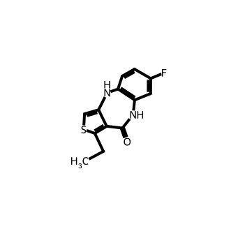 CCc1scc2c1C(=O)Nc1cc(F)ccc1N2